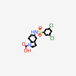 O=C(O)n1ccc2cc(NS(=O)(=O)c3cc(Cl)cc(Cl)c3)ccc21